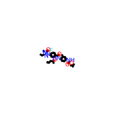 C=CCC(C)Oc1cc(-n2nc(CC)n(C)c2=O)c(F)cc1C(=O)Nc1ccc(NC(=O)OC(C)(C)C)cc1C